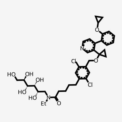 CCN(C[C@H](O)[C@@H](O)[C@H](O)[C@H](O)CO)C(=O)CCCCc1cc(Cl)c(COC2(c3cnccc3-c3ccccc3OC3CC3)CC2)cc1Cl